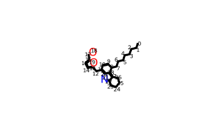 CCCCCCCCC1C=CC(Cc2ccc(C=O)o2)=C2N=C3CCCCC3=C21